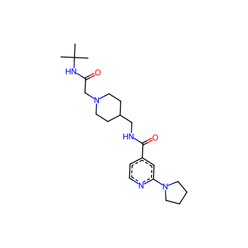 CC(C)(C)NC(=O)CN1CCC(CNC(=O)c2ccnc(N3CCCC3)c2)CC1